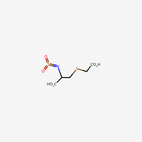 O=C(O)CSCC(N=S(=O)=O)C(=O)O